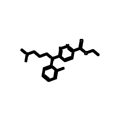 CCOC(=O)c1ccc(N(CCCN(C)C)c2ccccc2C)nn1